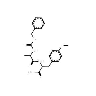 COc1ccc(CC(NC(=O)C(C)NC(=O)OCc2ccccc2)C(=O)O)cc1